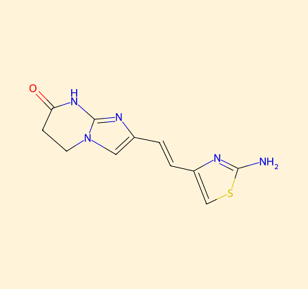 Nc1nc(/C=C/c2cn3c(n2)NC(=O)CC3)cs1